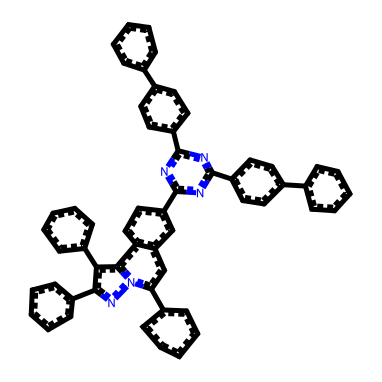 c1ccc(-c2ccc(-c3nc(-c4ccc(-c5ccccc5)cc4)nc(-c4ccc5c(c4)cc(-c4ccccc4)n4nc(-c6ccccc6)c(-c6ccccc6)c54)n3)cc2)cc1